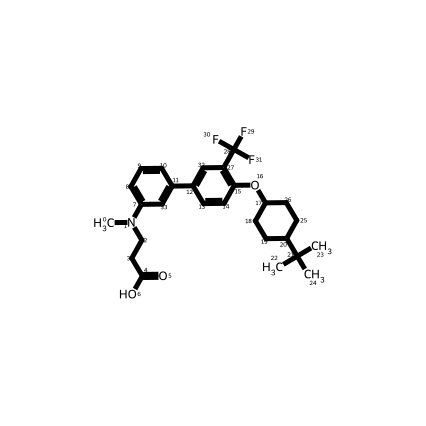 CN(CCC(=O)O)c1cccc(-c2ccc(OC3CCC(C(C)(C)C)CC3)c(C(F)(F)F)c2)c1